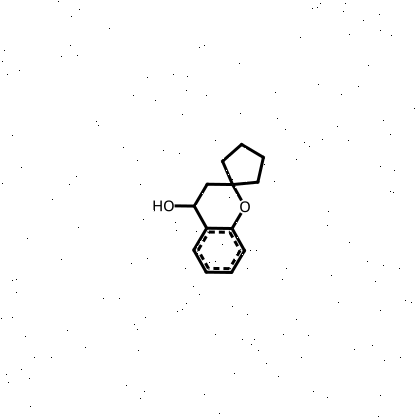 OC1CC2(CCCC2)Oc2ccccc21